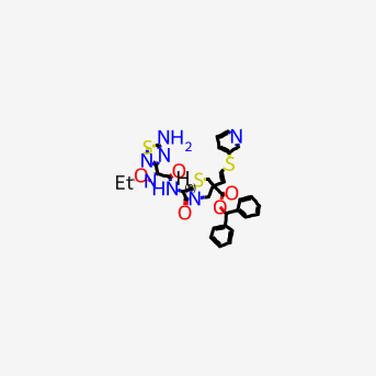 CCON=C(C(=O)NC1C(=O)N2CC(C=CSc3cccnc3)(C(=O)OC(c3ccccc3)c3ccccc3)CS[C@H]12)c1nsc(N)n1